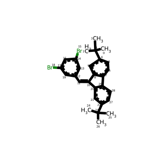 CC(C)(C)c1ccc2c(c1)C(=Cc1cc(Br)cc(Br)c1)c1cc(C(C)(C)C)ccc1-2